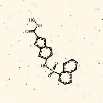 O=C(NO)c1cc2ccc(NS(=O)(=O)c3cccc4ccccc34)cc2s1